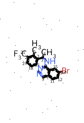 Cc1c(C(C)Nc2nncc3ccc(Br)cc23)cccc1C(F)(F)F